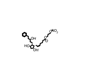 O=C(CCC/C=C\C[C@H]1[C@H](CCC(O)CCc2ccccc2)[C@@H](O)C[C@@H]1O)OCCCO[N+](=O)[O-]